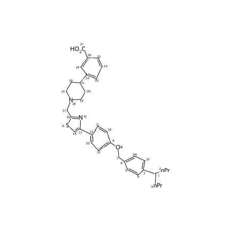 CCCC(CCC)c1ccc(COc2ccc(-c3csc(CN4CCC(c5cccc(C(=O)O)c5)CC4)n3)cc2)cc1